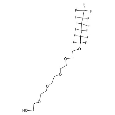 OCCOCCOCCOCCOCCOC(F)(F)C(F)(F)C(F)(F)C(F)(F)C(F)(F)C(F)(F)F